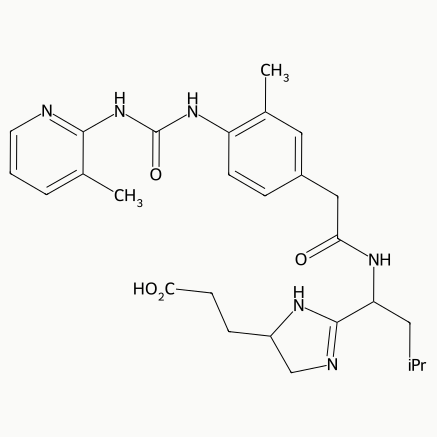 Cc1cc(CC(=O)NC(CC(C)C)C2=NCC(CCC(=O)O)N2)ccc1NC(=O)Nc1ncccc1C